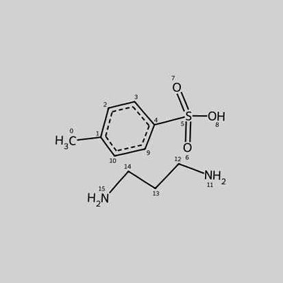 Cc1ccc(S(=O)(=O)O)cc1.NCCCN